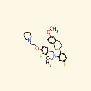 CCN(Cc1ccc(OCCN2CCCCC2)c(F)c1)c1cc(F)ccc1C1CCc2cc(OC)ccc2C1